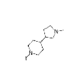 CN1CCC(C2CCN(I)CC2)C1